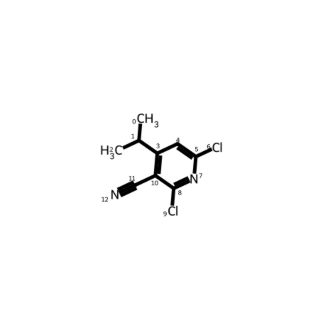 CC(C)c1cc(Cl)nc(Cl)c1C#N